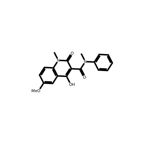 COc1ccc2c(c1)c(O)c(C(=O)N(C)c1ccccc1)c(=O)n2C